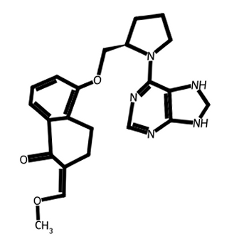 COC=C1CCc2c(OC[C@H]3CCCN3c3ncnc4c3NCN4)cccc2C1=O